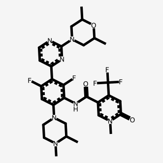 CC1CN(c2nccc(-c3c(F)cc(N4CCN(C)C(C)C4)c(NC(=O)c4cn(C)c(=O)cc4C(F)(F)F)c3F)n2)CC(C)O1